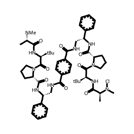 CN[C@@H](C)C(=O)N[C@H](C(=O)N1CCC[C@H]1C(=O)N[C@H](CNC(=O)c1ccc(C(=O)NC[C@@H](NC(=O)[C@@H]2CCCN2C(=O)[C@@H](NC(=O)[C@H](C)N(C)Cl)C(C)(C)C)c2ccccc2)cc1)c1ccccc1)C(C)(C)C